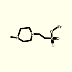 CC(C)OS(=O)(=O)CCN1CCN(C)CC1